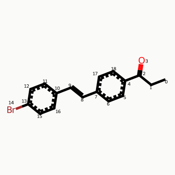 CCC(=O)c1ccc(C=Cc2ccc(Br)cc2)cc1